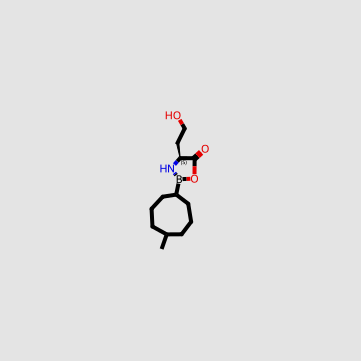 CC1CCCC(B2N[C@@H](CCO)C(=O)O2)CCC1